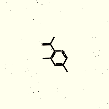 CC(=S)c1ccc(C)cc1C